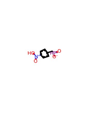 O=[N+](O)c1ccc(C[PH](=O)[O-])cc1